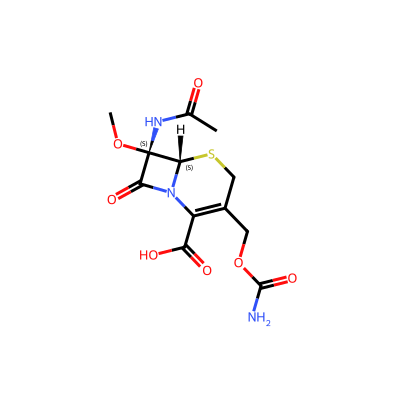 CO[C@@]1(NC(C)=O)C(=O)N2C(C(=O)O)=C(COC(N)=O)CS[C@H]21